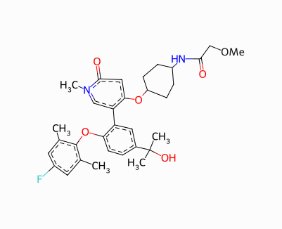 COCC(=O)NC1CCC(Oc2cc(=O)n(C)cc2-c2cc(C(C)(C)O)ccc2Oc2c(C)cc(F)cc2C)CC1